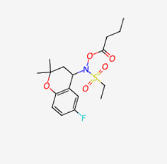 CCCC(=O)ON(C1CC(C)(C)Oc2ccc(F)cc21)S(=O)(=O)CC